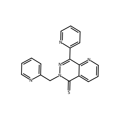 S=c1c2cccnc2c(-c2ccccn2)nn1Cc1ccccn1